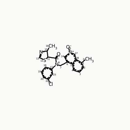 Cc1cccc2c(CN(C(=O)C3SC=NC3C)c3cccc(Cl)c3)c[n+]([O-])cc12